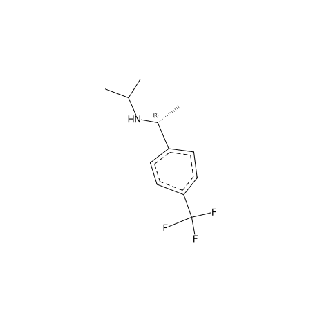 CC(C)N[C@H](C)c1ccc(C(F)(F)F)cc1